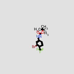 CC(C)(C)OC(=O)NCc1ccc(C(F)(F)F)c(Br)c1